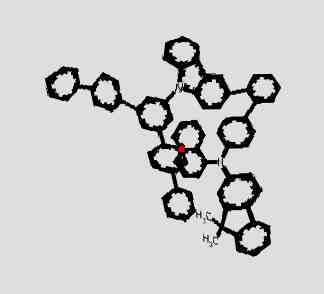 CC1(C)c2ccccc2-c2ccc(N(c3ccc(-c4ccccc4-c4ccc5c(c4)c4ccccc4n5-c4cc(-c5ccc(-c6ccccc6)cc5)cc(-c5ccc(-c6ccccc6)cc5)c4)cc3)c3cccc4ccccc34)cc21